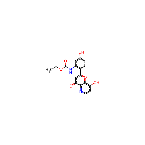 CCOC(=O)Nc1cc(O)ccc1-c1cc(=O)c2nccc(O)c2o1